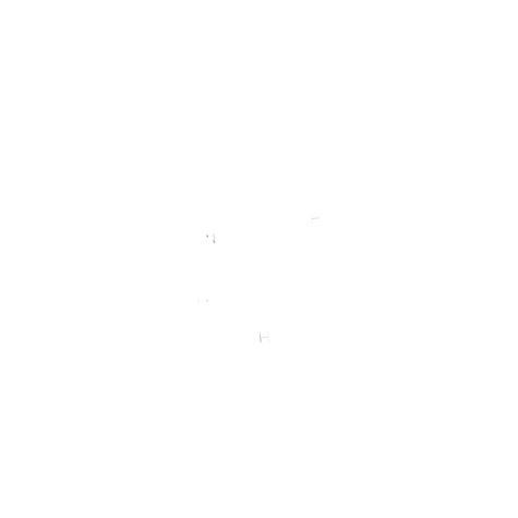 O=C(O)Cc1ncccc1O